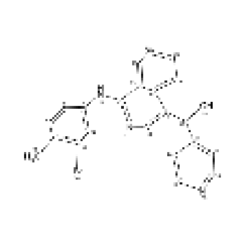 Cc1ccc(Nc2nnc(C(O)c3ccncc3)c3ccccc23)cc1Br